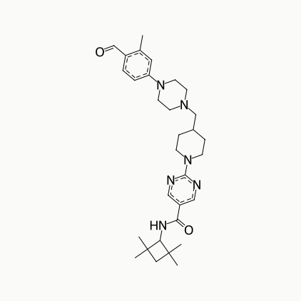 Cc1cc(N2CCN(CC3CCN(c4ncc(C(=O)NC5C(C)(C)CC5(C)C)cn4)CC3)CC2)ccc1C=O